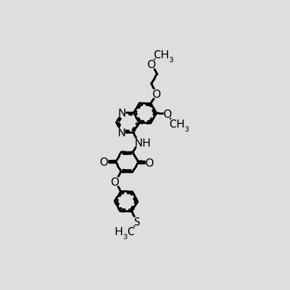 COCCOc1cc2ncnc(NC3=CC(=O)C(Oc4ccc(SC)cc4)=CC3=O)c2cc1OC